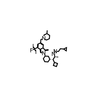 C=C1C2C=C(CN3CCCC(C)C3)C=C(C(F)(I)I)C2=CN1C1CCCC([C@@H](C2CCC2)[C@H](C)/N=N\CCC2CC2)C1